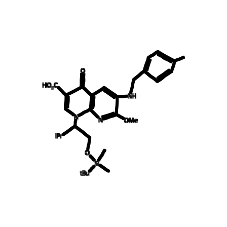 COc1nc2c(cc1NCc1ccc(C)cc1)c(=O)c(C(=O)O)cn2C(CO[Si](C)(C)C(C)(C)C)C(C)C